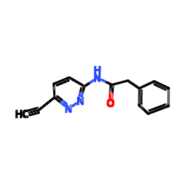 C#Cc1ccc(NC(=O)Cc2ccccc2)nn1